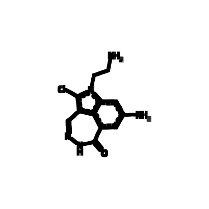 NCCn1c(Cl)c2c3c(cc(N)cc31)C(=O)NN=C2